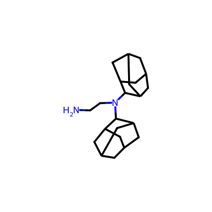 NCCN(C1C2CC3CC(C2)CC1C3)C1C2CC3CC(C2)CC1C3